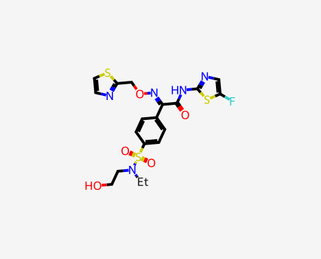 CCN(CCO)S(=O)(=O)c1ccc(/C(=N\OCc2nccs2)C(=O)Nc2ncc(F)s2)cc1